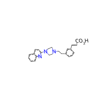 O=C(O)/C=C/c1cccc(CCN2CCN(c3ccc4ccccc4n3)CC2)c1